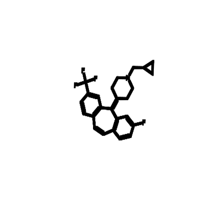 Fc1ccc2c(c1)C(=C1CCN(CC3CC3)CC1)c1cc(C(F)(F)F)ccc1C=C2